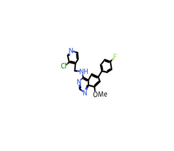 COc1cc(-c2ccc(F)cc2)cc2c(NCc3ccncc3Cl)ncnc12